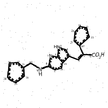 O=C(O)C(=Cc1c[nH]c2nc(NCc3ccccc3)ccc12)c1ccccc1